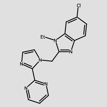 CCn1c(Cn2ccnc2-c2ncccn2)nc2ccc(Cl)cc21